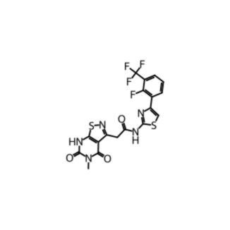 Cn1c(=O)[nH]c2snc(CC(=O)Nc3nc(-c4cccc(C(F)(F)F)c4F)cs3)c2c1=O